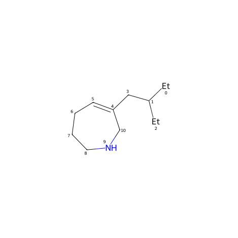 CCC(CC)CC1=CCCCNC1